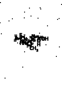 Cc1cc(Nc2ncc(F)c(C3CC3)n2)cc(-c2cnc(CC(O)CO)s2)c1